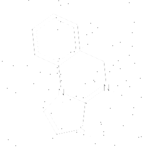 C1=CN2C(=NCc3ccccc32)S1